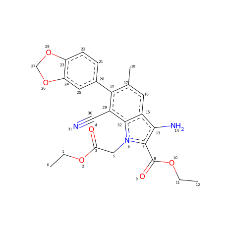 CCOC(=O)Cn1c(C(=O)OCC)c(N)c2cc(C)c(-c3ccc4c(c3)OCO4)c(C#N)c21